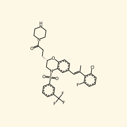 C/C(=C\c1ccc2c(c1)N(S(=O)(=O)c1cccc(C(F)(F)F)c1)C[C@H](CCC(=O)N1CCNCC1)O2)c1c(F)cccc1Cl